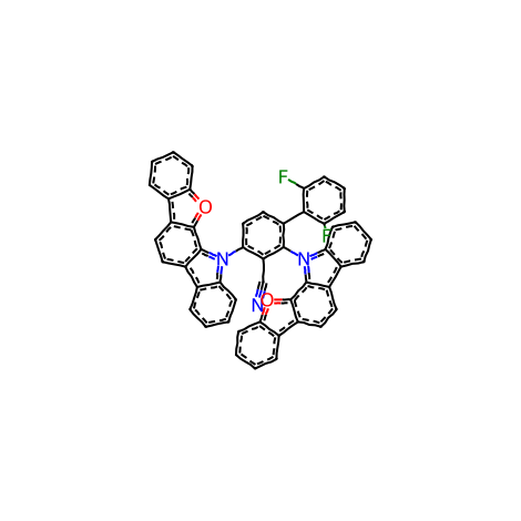 N#Cc1c(-n2c3ccccc3c3ccc4c5ccccc5oc4c32)ccc(-c2c(F)cccc2F)c1-n1c2ccccc2c2ccc3c4ccccc4oc3c21